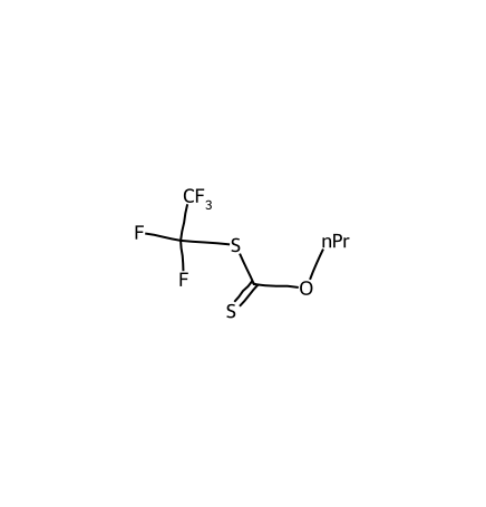 CCCOC(=S)SC(F)(F)C(F)(F)F